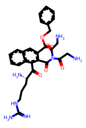 N=C(N)NCCC[C@H](N)C(=O)c1c(C(=O)N(C(=O)CN)C(=O)CN)c(C(=O)OCc2ccccc2)cc2ccccc12